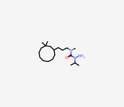 CC(C)N(N)C(=O)N(C)CCCC1CCCCCCCC(C)(C)C1